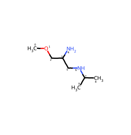 COCC(N)CNC(C)C